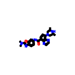 CC1CN(c2ccc(C(=O)Nc3ccc4nc(N(C)C)oc4c3)c3nccnc23)CC(C)N1